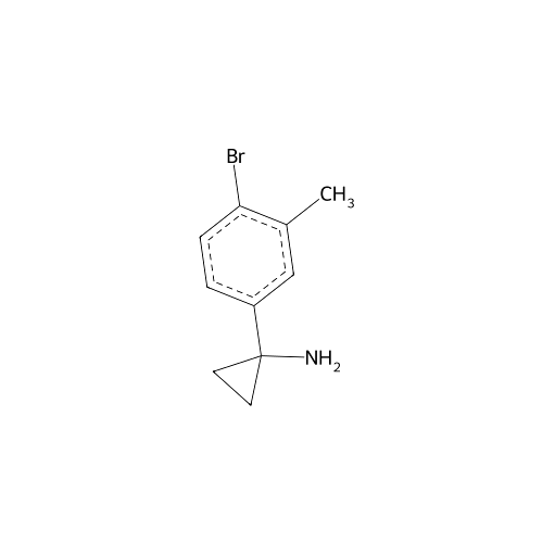 Cc1cc(C2(N)CC2)ccc1Br